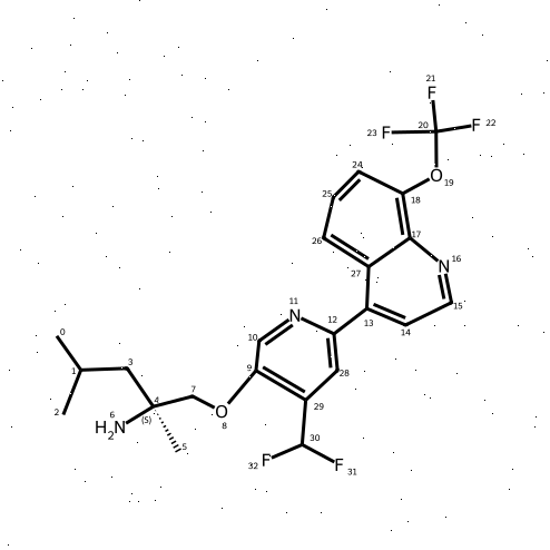 CC(C)C[C@](C)(N)COc1cnc(-c2ccnc3c(OC(F)(F)F)cccc23)cc1C(F)F